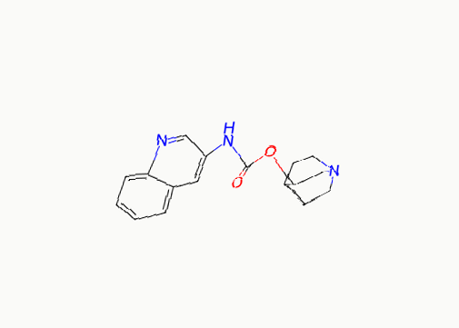 O=C(Nc1cnc2ccccc2c1)OC1CN2CCC1CC2